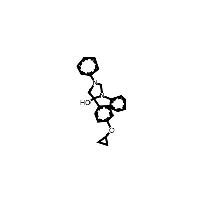 OC1(c2ccc(OC3CC3)cc2)CN(c2ccccc2)CN1c1ccccc1